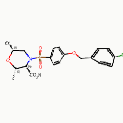 CC[C@H]1CN(S(=O)(=O)c2ccc(OCc3ccc(F)cc3)cc2)[C@@H](C(=O)O)[C@H](C)O1